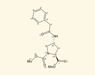 COC(=O)[C@@H]1C[C@@H](NC(=O)Cc2ccccc2)CN1C(=O)OC(C)(C)C